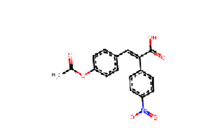 CC(=O)Oc1ccc(/C=C(/C(=O)O)c2ccc([N+](=O)[O-])cc2)cc1